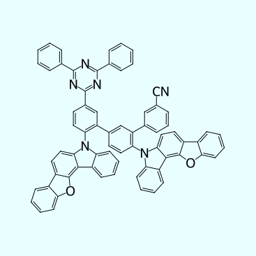 N#Cc1cccc(-c2cc(-c3cc(-c4nc(-c5ccccc5)nc(-c5ccccc5)n4)ccc3-n3c4ccccc4c4c5oc6ccccc6c5ccc43)ccc2-n2c3ccccc3c3c4oc5ccccc5c4ccc32)c1